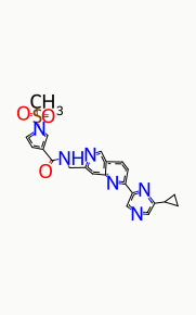 CS(=O)(=O)n1ccc(C(=O)NCc2cc3nc(-c4cncc(C5CC5)n4)ccc3cn2)c1